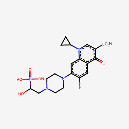 O=C(O)c1cn(C2CC2)c2cc(N3CCN(CC(O)P(=O)(O)O)CC3)c(F)cc2c1=O